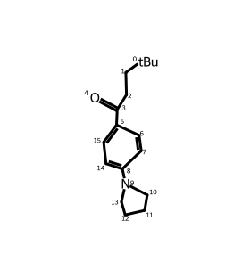 CC(C)(C)CCC(=O)c1ccc(N2CCCC2)cc1